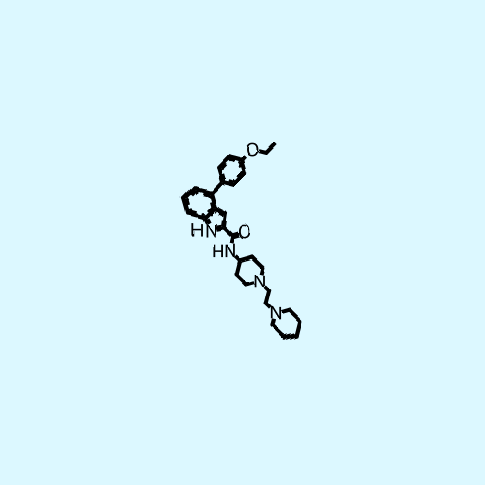 CCOc1ccc(-c2cccc3[nH]c(C(=O)NC4CCN(CCN5CCCCC5)CC4)cc23)cc1